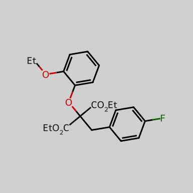 CCOC(=O)C(Cc1ccc(F)cc1)(Oc1ccccc1OCC)C(=O)OCC